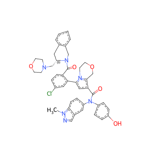 Cn1ncc2cc(N(C(=O)c3cc(-c4cc(Cl)ccc4C(=O)N4Cc5ccccc5C[C@H]4CN4CCOCC4)n4c3COCC4)c3ccc(O)cc3)ccc21